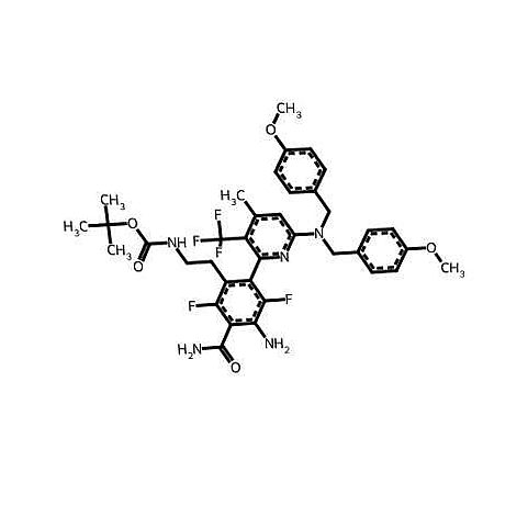 COc1ccc(CN(Cc2ccc(OC)cc2)c2cc(C)c(C(F)(F)F)c(-c3c(F)c(N)c(C(N)=O)c(F)c3CCNC(=O)OC(C)(C)C)n2)cc1